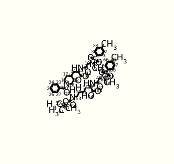 Cc1ccc(S(=O)(=O)N(C)CC(=O)NC(CC2CCN(C(=O)c3ccccc3)CC2)C(=O)O)cc1.Cc1ccc(S(=O)(=O)N(C)CC(=O)N[C@@H](CCCCNC(=O)OC(C)(C)C)C(=O)O)cc1